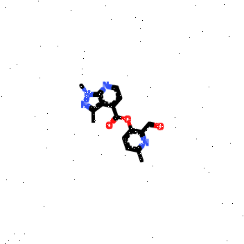 Cc1ccc(OC(=O)c2ccnc3c2c(C)nn3C)c(C=O)n1